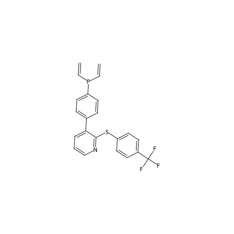 C=CP(C=C)c1ccc(-c2cccnc2Sc2ccc(C(F)(F)F)cc2)cc1